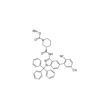 CC(C)(C)OC(=O)N1CCC[C@@H](C(=O)Nc2nn(C(c3ccccc3)(c3ccccc3)c3ccccc3)c3ccc(-c4cc(C#N)ccc4C#N)cc23)C1